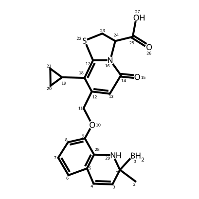 BC1(C)C=Cc2cccc(OCc3cc(=O)n4c(c3C3CC3)SCC4C(=O)O)c2N1